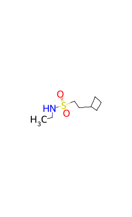 CCNS(=O)(=O)CCC1CCC1